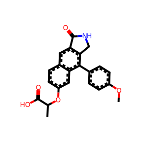 COc1ccc(-c2c3c(cc4ccc(OC(C)C(=O)O)cc24)C(=O)NC3)cc1